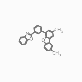 Cc1ccc2oc3c(-c4cccc(-c5nc6ccccc6o5)c4)cc(C)cc3c2c1